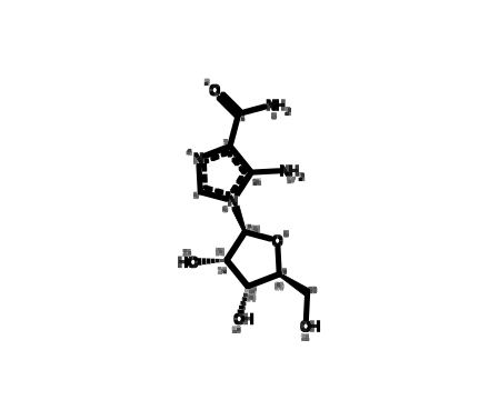 NC(=O)c1ncn([C@H]2O[C@@H](CO)[C@H](O)[C@@H]2O)c1N